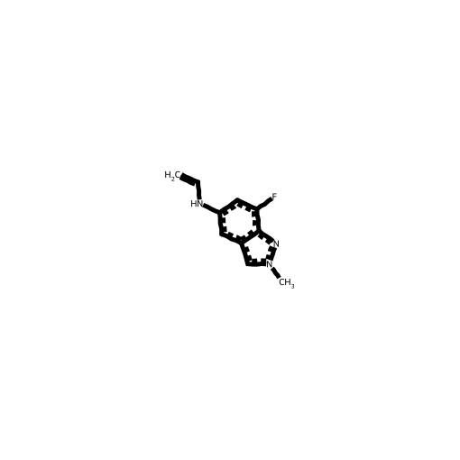 C=CNc1cc(F)c2nn(C)cc2c1